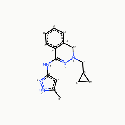 Cc1cc(NC2=NN(CC3CC3)Cc3ccccc32)n[nH]1